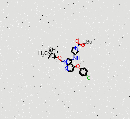 CC(C)(C)OC(=O)N1CC[C@@H](Nc2cn(COCC[Si](C)(C)C)c3nccc(Oc4ccc(Cl)cc4)c23)C1